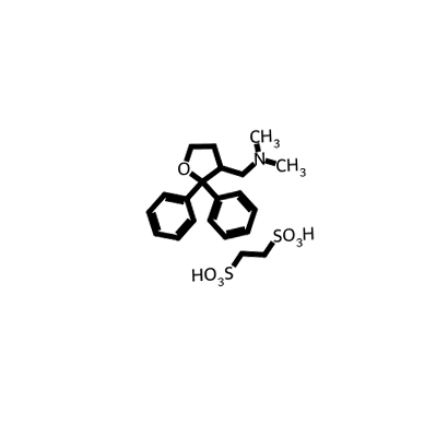 CN(C)CC1CCOC1(c1ccccc1)c1ccccc1.O=S(=O)(O)CCS(=O)(=O)O